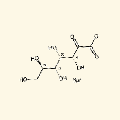 O=C([O-])C(=O)[C@H](O)[C@@H](O)[C@H](O)[C@H](O)CO.[Na+]